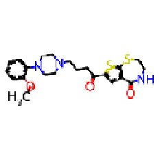 COc1ccccc1N1CCN(CCCC(=O)c2cc3c(s2)SCCNC3=O)CC1